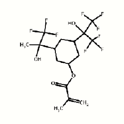 C=C(C)C(=O)OC1CC(C(C)(O)C(F)(F)F)CC(C(O)(C(F)(F)F)C(F)(F)F)C1